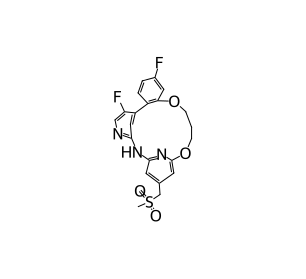 CS(=O)(=O)Cc1cc2nc(c1)OCCCOc1cc(F)ccc1-c1cc(ncc1F)N2